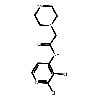 O=C(CN1CCNCC1)Nc1ccnc(Cl)c1Cl